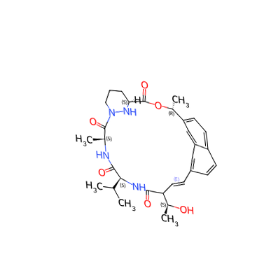 CC(C)[C@@H]1NC(=O)C([C@H](C)O)/C=C/c2ccc3ccc(cc3c2)[C@@H](C)OC(=O)[C@@H]2CCCN(N2)C(=O)[C@H](C)NC1=O